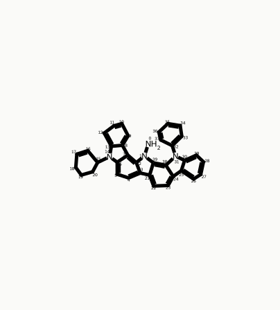 Nn1c2c(ccc3c2c2ccccc2n3C2C=CCCC2)c2ccc3c4ccccc4n(-c4ccccc4)c3c21